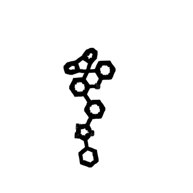 C1=CCC(c2nnc(-c3cccc(-c4cccc5c4Oc4ccccc4C54c5ccccc5-c5ccccc54)c3)o2)C=C1